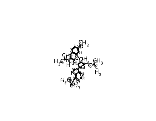 COc1ccc(C[C@H](NC(C)C)C(=O)N[C@@H]2[C@H](O)[C@@H](COC(C)C)O[C@H]2n2cnc3c(N(C)C)ncnc32)cc1